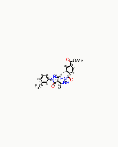 COC(=O)c1ccc(C(=O)NNC(C)=C2C(=O)N(c3cccc(C(F)(F)F)c3)N=C2C)cc1